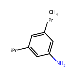 C.CC(C)c1cc(N)cc(C(C)C)c1